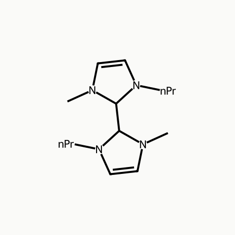 CCCN1C=CN(C)C1C1N(C)C=CN1CCC